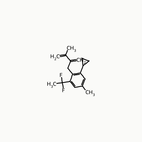 C=C(C)C(=C)Cc1c(C2CC2)cc(C)cc1C(C)(F)F